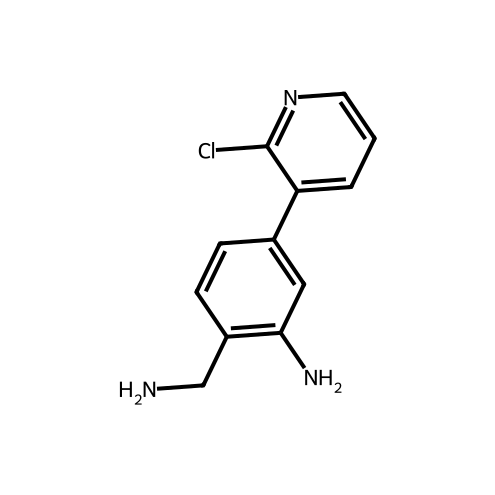 NCc1ccc(-c2cccnc2Cl)cc1N